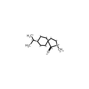 CC(C)[C@H]1CC[C@]2(CCN(C)C2=O)CC1